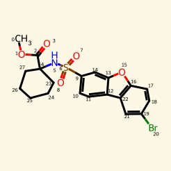 COC(=O)C1(NS(=O)(=O)c2ccc3c(c2)oc2ccc(Br)cc23)CCCCC1